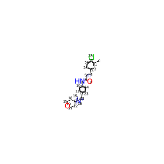 Cc1cc(/C=C/C(=O)Nc2ccc(C[N+](C)(C)C3CCOCC3)cc2)ccc1Cl